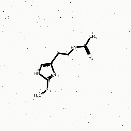 CSc1nc(CCNC(C)=O)c[nH]1